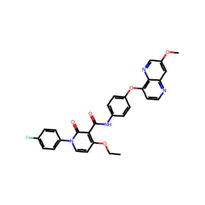 CCOc1ccn(-c2ccc(F)cc2)c(=O)c1C(=O)Nc1ccc(Oc2ccnc3cc(OC)cnc23)cc1